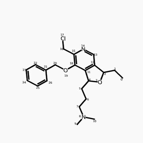 CCC1OC(CCCN(C)C)c2c1cnc(CCl)c2OCc1ccccc1